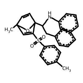 Cc1ccc(S(=O)(=O)C2=CC3(C)C=CC2(C(Cc2ccccc2)Nc2ccccc2)O3)cc1